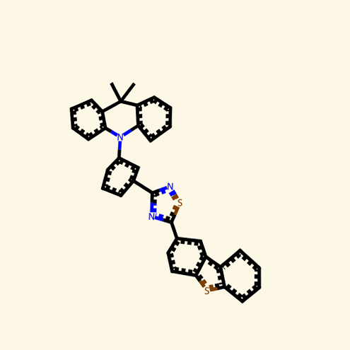 CC1(C)c2ccccc2N(c2cccc(-c3nsc(-c4ccc5sc6ccccc6c5c4)n3)c2)c2ccccc21